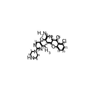 Cc1nc(N2CCNCC2)ncc1Oc1cc2oc3cccc(Cl)c3c(=O)c2nc1N